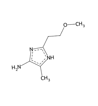 COCCc1nc(N)c(C)[nH]1